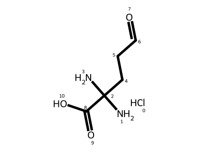 Cl.NC(N)(CCC=O)C(=O)O